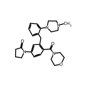 CN1CCN(c2ccccc2Cc2cc(N3CCCC3=O)ccc2C(=O)N2CCOCC2)CC1